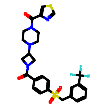 O=C(c1ccc(S(=O)(=O)Cc2cccc(C(F)(F)F)c2)cc1)N1CC(N2CCN(C(=O)c3cscn3)CC2)C1